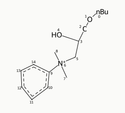 CCCCOCC(O)C[N+](C)(C)c1ccccc1